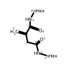 C=C(CC(=O)NCCCCCC)C(=O)NCCCCCC